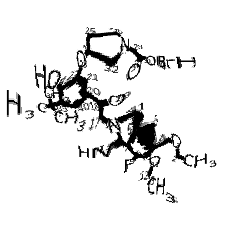 Br.CCOc1cc2c(c(F)c1OCC)C(=N)N(CC(=O)c1cc(OC3CCN(CC(=O)O)C3)c(O)c(C(C)(C)C)c1)C2